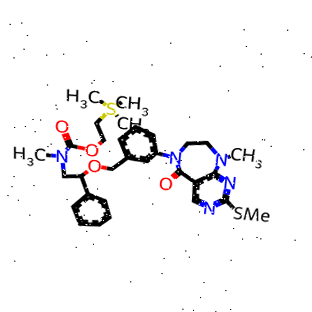 CSc1ncc2c(n1)N(C)CCN(c1cccc(COC(CN(C)C(=O)OCCS(C)(C)C)c3ccccc3)c1)C2=O